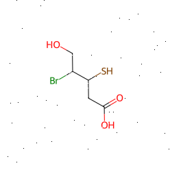 O=C(O)CC(S)C(Br)CO